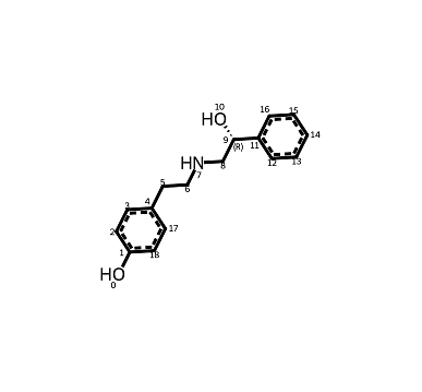 Oc1ccc(CCNC[C@H](O)c2ccccc2)cc1